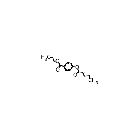 CCC[CH]C(=O)Oc1ccc(C(=O)OCCC)cc1